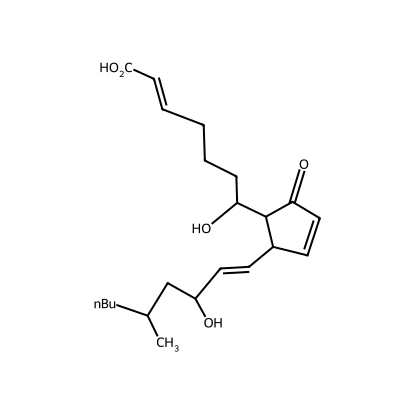 CCCCC(C)CC(O)/C=C/C1C=CC(=O)C1C(O)CCC/C=C/C(=O)O